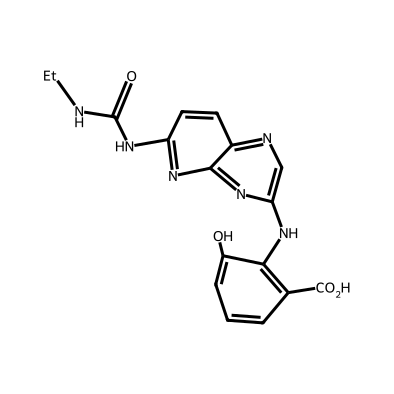 CCNC(=O)Nc1ccc2ncc(Nc3c(O)cccc3C(=O)O)nc2n1